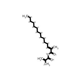 C=C(C)C(=O)OC(=O)C(C)=CCCCCCCCCCCCC